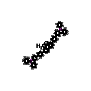 CC1(C)c2cc(-c3ccc(-c4ccc5c(c4)c4ccccc4p5-c4ccccc4)cc3)ccc2-c2ccc(-c3ccc(-c4ccc5c(c4)c4ccccc4p5-c4ccccc4)cc3)cc21